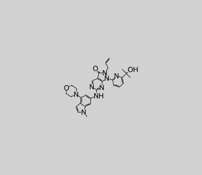 C=CCn1c(=O)c2cnc(Nc3cc(N4CCOCC4)c4ccn(C)c4c3)nc2n1-c1cccc(C(C)(C)O)n1